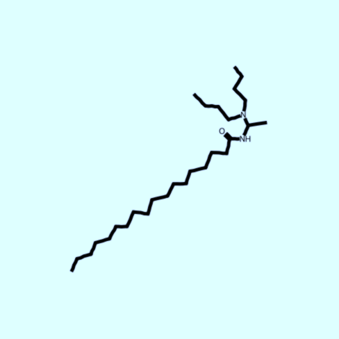 CCCCCCCCCCCCCCCCCC(=O)NC(C)N(CCCC)CCCC